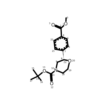 COC(=O)c1ccc([C@H]2CN(C(=O)OC(C)(C)C)CCO2)cc1